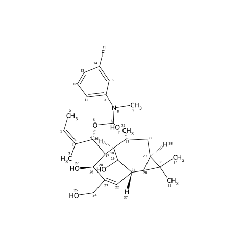 C/C=C(/C)[C@H](OC(O)N(C)c1cccc(F)c1)C1[C@@H]2C(O)[C@@H](C=C(CO)[C@H]1O)C1[C@@H](C[C@H]2C)C1(C)C